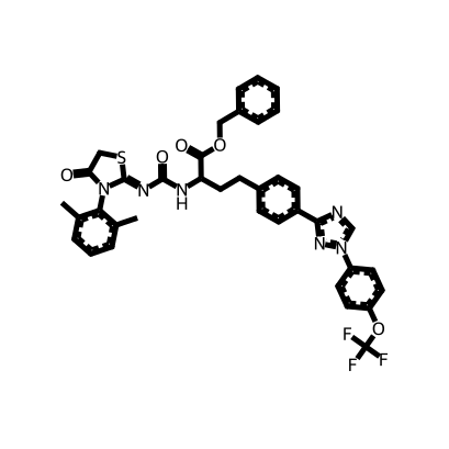 Cc1cccc(C)c1N1C(=O)CS/C1=N\C(=O)NC(CCc1ccc(-c2ncn(-c3ccc(OC(F)(F)F)cc3)n2)cc1)C(=O)OCc1ccccc1